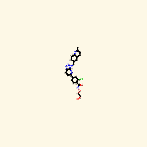 Cc1ccc2cc(Cn3nnc4ccc(-c5ccc(C(=O)NOCCO)c(Cl)c5)nc43)ccc2n1